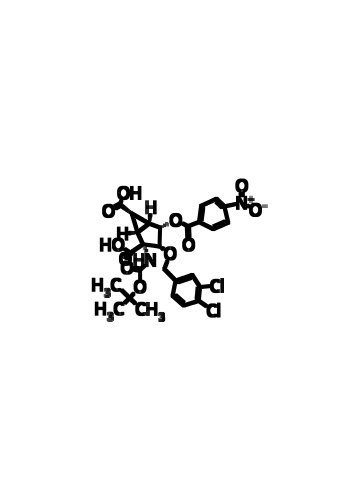 CC(C)(C)OC(=O)N[C@]1(C(=O)O)[C@@H]2[C@@H](C(=O)O)[C@@H]2[C@H](OC(=O)c2ccc([N+](=O)[O-])cc2)[C@H]1OCc1ccc(Cl)c(Cl)c1